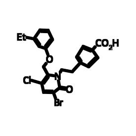 CCc1cccc(OCc2c(Cl)cc(Br)c(=O)n2CCc2ccc(C(=O)O)cc2)c1